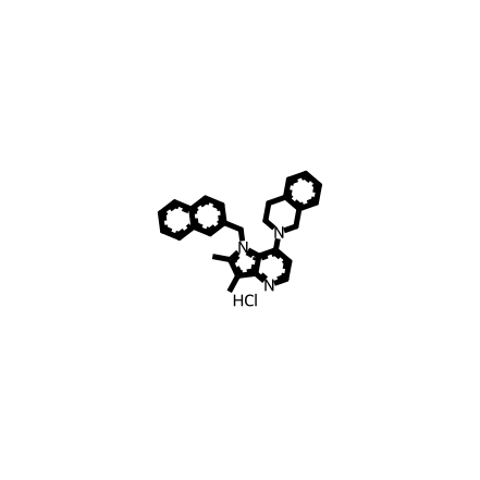 Cc1c(C)n(Cc2ccc3ccccc3c2)c2c(N3CCc4ccccc4C3)ccnc12.Cl